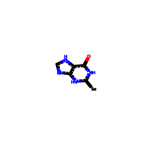 O=c1[nH]c(=[Se])[nH]c2nc[nH]c12